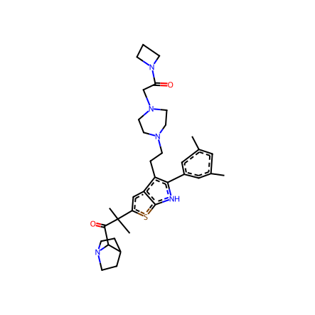 Cc1cc(C)cc(-c2[nH]c3sc(C(C)(C)C(=O)C4C5CCN4CC5)cc3c2CCN2CCN(CC(=O)N3CCC3)CC2)c1